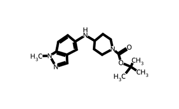 Cn1ncc2cc(NC3CCN(C(=O)OC(C)(C)C)CC3)ccc21